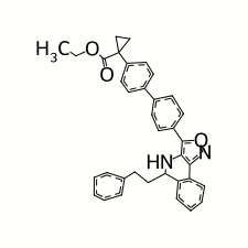 CCOC(=O)C1(c2ccc(-c3ccc(-c4onc5c4NC(CCc4ccccc4)c4ccccc4-5)cc3)cc2)CC1